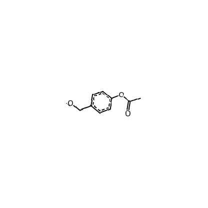 CC(=O)Oc1ccc(C[O])cc1